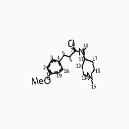 COc1ccc(CCC(=O)N(C)C2CCN(C)CC2)cc1